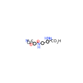 CN1CCC(Oc2ccc(C(=O)Nc3ccc(-c4ccc5c(C(=O)O)n[nH]c5c4)cc3)cc2C(F)(F)F)CC1